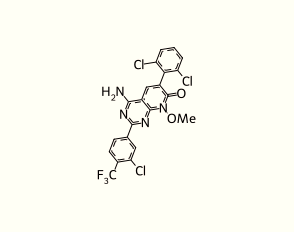 COn1c(=O)c(-c2c(Cl)cccc2Cl)cc2c(N)nc(-c3ccc(C(F)(F)F)c(Cl)c3)nc21